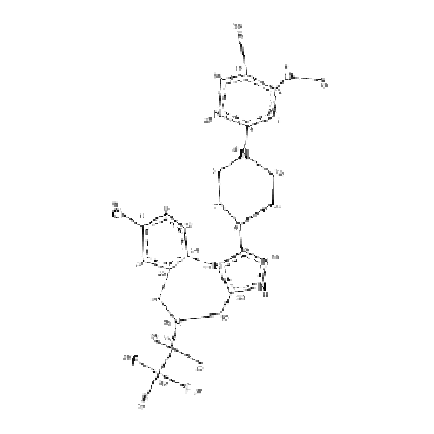 COc1cc(N2CCC(c3nnc4n3-c3ccc(Cl)cc3CN(C(C)(C)C(F)(F)F)C4)CC2)ncc1F